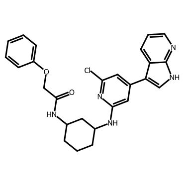 O=C(COc1ccccc1)NC1CCCC(Nc2cc(-c3c[nH]c4ncccc34)cc(Cl)n2)C1